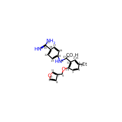 CCc1ccc(OCc2ccoc2)c([C@@H](Nc2ccc(C(=N)N)cc2)C(=O)O)c1